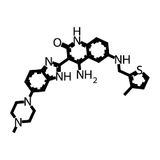 Cc1ccsc1CNc1ccc2[nH]c(=O)c(-c3nc4ccc(N5CCN(C)CC5)cc4[nH]3)c(N)c2c1